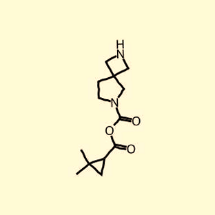 CC1(C)CC1C(=O)OC(=O)N1CCC2(CNC2)C1